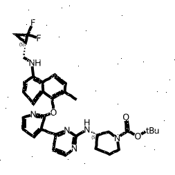 Cc1ccc2c(NC[C@@H]3CC3(F)F)cccc2c1Oc1ncccc1-c1ccnc(N[C@H]2CCCN(C(=O)OC(C)(C)C)C2)n1